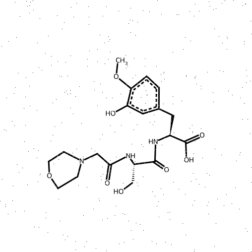 COc1ccc(C[C@H](NC(=O)[C@H](CO)NC(=O)CN2CCOCC2)C(=O)O)cc1O